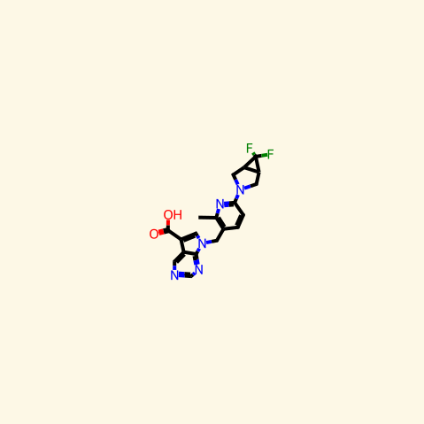 Cc1nc(N2CC3C(C2)C3(F)F)ccc1Cn1cc(C(=O)O)c2cncnc21